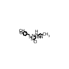 COc1ccc(CSc2nc(Cl)cc(Nc3cc(C)n[nH]3)n2)cc1